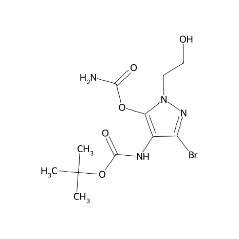 CC(C)(C)OC(=O)Nc1c(Br)nn(CCO)c1OC(N)=O